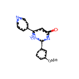 COc1cccc(-c2nc(=O)cc(-c3ccncc3)[nH]2)c1